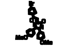 COc1ccc(-c2nc(=O)n(CC(=O)c3ccc(Br)cc3)nc2-c2ccc(OC)cc2)cc1